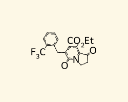 CCOC(=O)c1cc(Cc2ccccc2C(F)(F)F)c(=O)n2c1C(=O)CC2